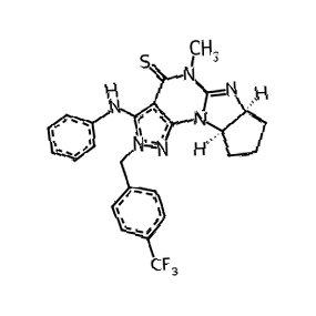 CN1C(=S)c2c(nn(Cc3ccc(C(F)(F)F)cc3)c2Nc2ccccc2)N2C1=N[C@H]1CCC[C@H]12